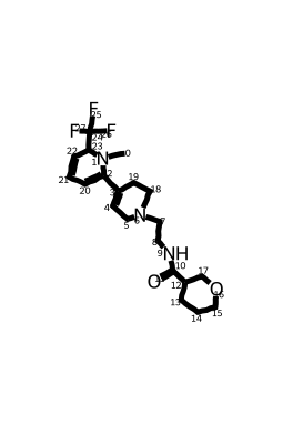 CN1C(C2=CCN(CCNC(=O)C3CCCOC3)CC2)=CC=CC1C(F)(F)F